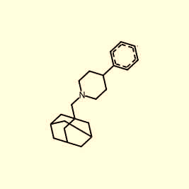 [c]1ccc(C2CCN(CC34CC5CC(CC(C5)C3)C4)CC2)cc1